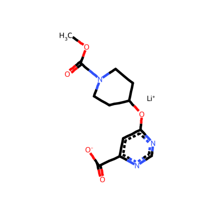 COC(=O)N1CCC(Oc2cc(C(=O)[O-])ncn2)CC1.[Li+]